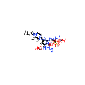 CN1CCN(c2cc(N)[n+](OS(=O)(=O)O)c(N)n2)CC1.[OH-]